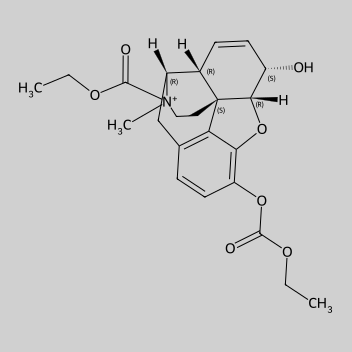 CCOC(=O)Oc1ccc2c3c1O[C@H]1[C@@H](O)C=C[C@H]4[C@@H](C2)[N+](C)(C(=O)OCC)CC[C@@]341